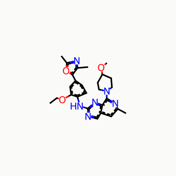 CCOc1cc(-c2oc(C)nc2C)ccc1Nc1ncc2cc(C)nc(N3CCC(OC)CC3)c2n1